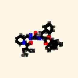 CC(C)CC(C#N)C(=O)N1CCCC[C@H]1CNC(=O)N[C@@H](Cc1ccccc1)B1OC2C[C@@H]3C[C@@H](C3(C)C)[C@]2(C)O1